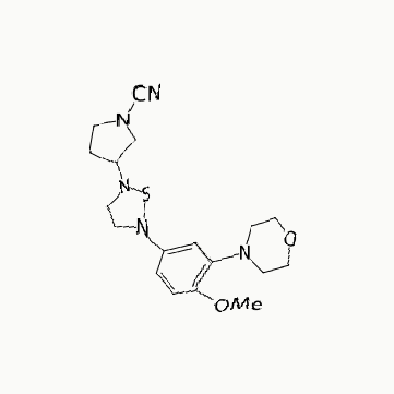 COc1ccc(N2CCN(C3CCN(C#N)C3)S2)cc1N1CCOCC1